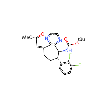 COC(=O)/C=C1/CC[C@@H](c2cccc(F)c2F)[C@H](NC(=O)OC(C)(C)C)c2nccnc21